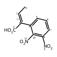 C/C=C(/C(=O)O)c1cccc([N+](=O)[O-])c1[N+](=O)[O-]